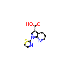 O=C(O)c1cn(-c2nccs2)c2ncccc12